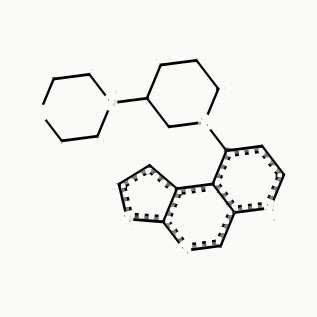 c1cc(N2CCCC(N3CCOCC3)C2)c2c(cnc3[nH]ccc32)n1